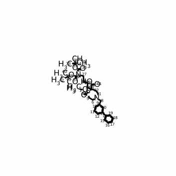 CCOP1(=O)CCN(Cc2cccc(-c3ccccc3)c2)CCC1(CCCCN(C(=O)OC(C)(C)C)C(=O)OC(C)(C)C)C(=O)O